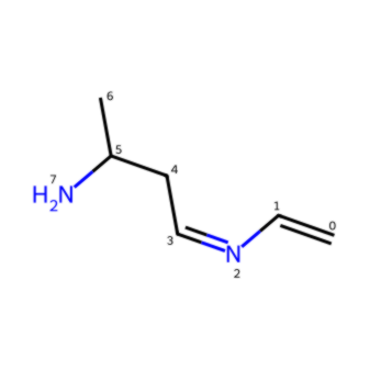 C=C/N=C\CC(C)N